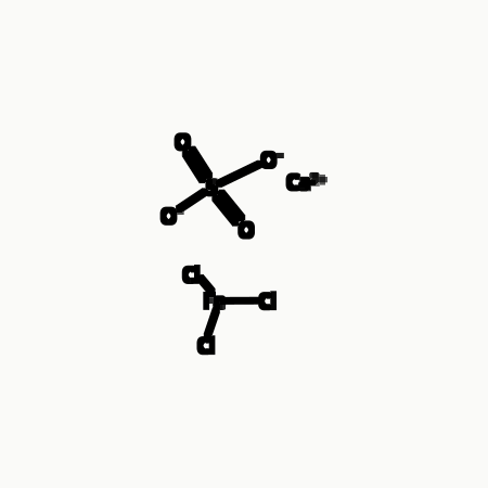 O=S(=O)([O-])[O-].[Ca+2].[Cl][Fe]([Cl])[Cl]